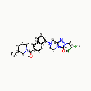 O=C(c1ccc2c(N3CCn4c(nn(CC(F)F)c4=O)C3)cccc2c1)N1CCC[C@H](C(F)(F)F)C1